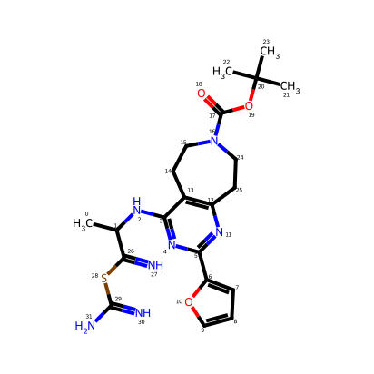 CC(Nc1nc(-c2ccco2)nc2c1CCN(C(=O)OC(C)(C)C)CC2)C(=N)SC(=N)N